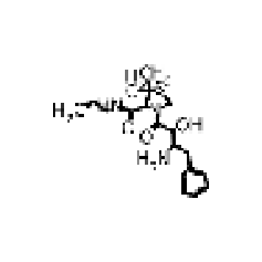 C=CCNC(=O)C1N(C(=O)C(O)C(N)Cc2ccccc2)CSC1(C)C